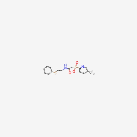 O=C(CS(=O)(=O)c1ccc(C(F)(F)F)cn1)NCCSc1ccccc1